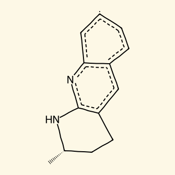 C[C@H]1CCc2cc3cc[c]cc3nc2N1